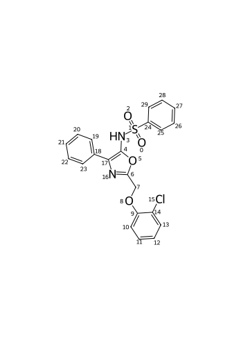 O=S(=O)(Nc1oc(COc2ccccc2Cl)nc1-c1ccccc1)c1ccccc1